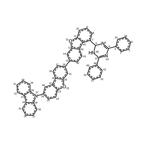 c1ccc(C2=NC(c3cccc4oc5cc(-c6ccc7c(c6)oc6ccc(-n8c9ccccc9c9ccccc98)cc67)ccc5c34)NC(c3ccccc3)=N2)cc1